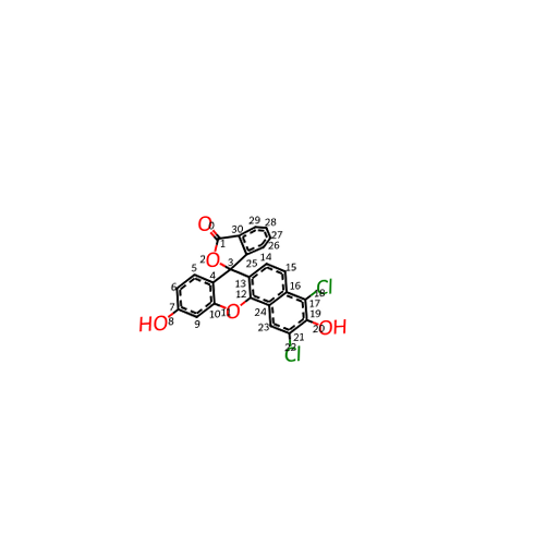 O=C1OC2(c3ccc(O)cc3Oc3c2ccc2c(Cl)c(O)c(Cl)cc32)c2ccccc21